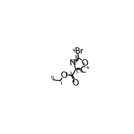 CCOC(=O)C1=[C+]OC(Br)=N1